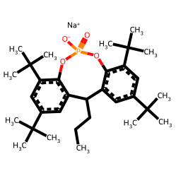 CCCC1c2cc(C(C)(C)C)cc(C(C)(C)C)c2OP(=O)([O-])Oc2c1cc(C(C)(C)C)cc2C(C)(C)C.[Na+]